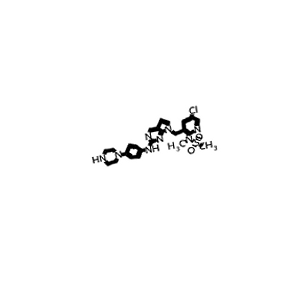 CN(c1ncc(Cl)cc1Cn1ccc2cnc(Nc3ccc(N4CCNCC4)cc3)nc21)S(C)(=O)=O